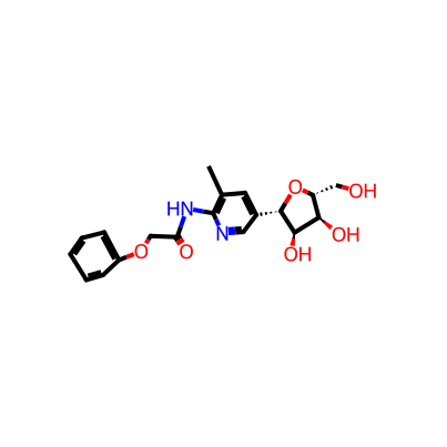 Cc1cc([C@@H]2O[C@H](CO)[C@@H](O)[C@H]2O)cnc1NC(=O)COc1ccccc1